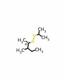 CCC(C)[C@@H](C)SSC(C)C